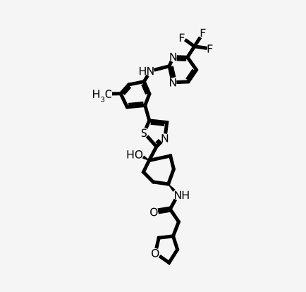 Cc1cc(Nc2nccc(C(F)(F)F)n2)cc(-c2cnc([C@]3(O)CC[C@@H](NC(=O)CC4CCOC4)CC3)s2)c1